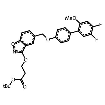 COc1cc(F)c(F)cc1-c1ccc(OCc2ccc3onc(OCCC(=O)OC(C)(C)C)c3c2)cc1